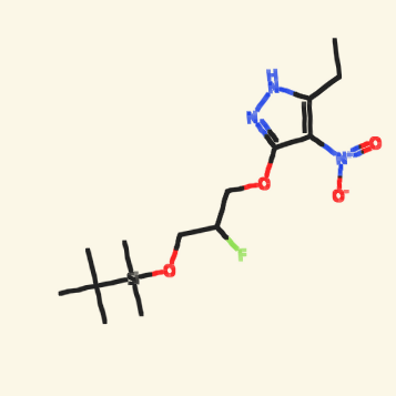 CCc1[nH]nc(OCC(F)CO[Si](C)(C)C(C)(C)C)c1[N+](=O)[O-]